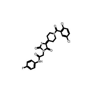 O=C(CN1C(=O)SC(=C2CCN(C(=O)c3cc(Cl)ccc3Cl)CC2)C1=O)Nc1ccc(F)cc1